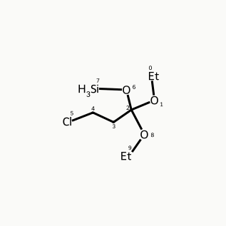 CCOC(CCCl)(O[SiH3])OCC